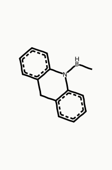 CBN1c2ccccc2Cc2ccccc21